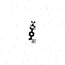 C=C(NCCC)c1ccc(C2=NN=C(N(C)C)SC2)cc1